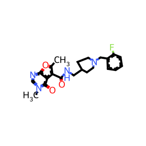 Cc1oc2ncn(C)c(=O)c2c1C(=O)NCC1CCN(Cc2ccccc2F)CC1